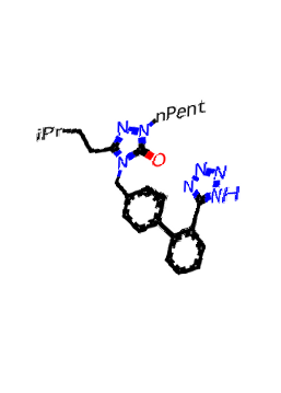 CCCCCn1nc(CCC(C)C)n(Cc2ccc(-c3ccccc3-c3nnn[nH]3)cc2)c1=O